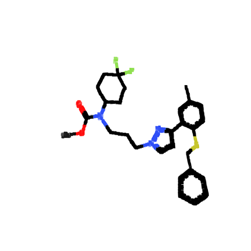 Cc1ccc(SCc2ccccc2)c(-c2ccn(CCCN(C(=O)OC(C)(C)C)C3CCC(F)(F)CC3)n2)c1